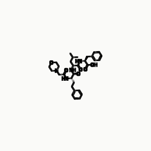 CC(C)CC(NC(=O)[C@H](CCc1ccccc1)NC(=O)CN1CCOCC1)C(=O)N[C@@H](Cc1ccccc1)C(=O)O